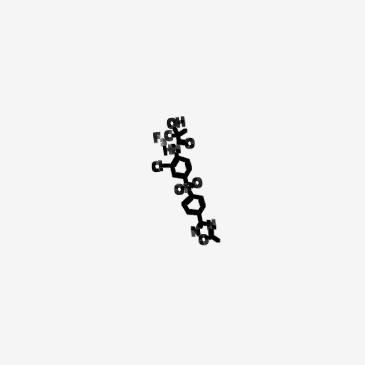 Cc1nc(-c2ccc(S(=O)(=O)c3ccc(NC(=O)[C@@](C)(O)C(F)(F)F)c(Cl)c3)cc2)no1